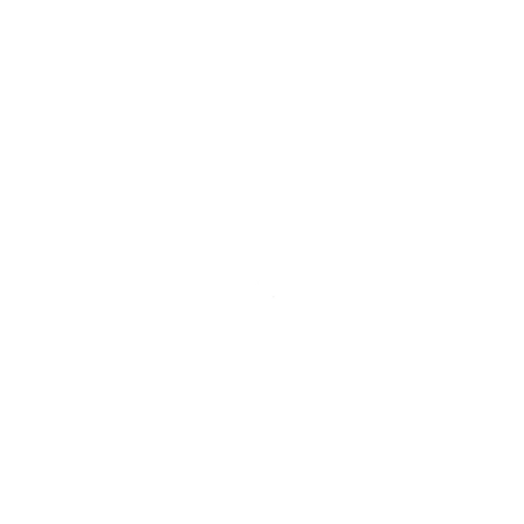 C=C[13CH2]O